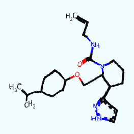 C=CCNC(=O)N1CCCC(c2cc[nH]n2)C1COC1CCC(C(C)C)CC1